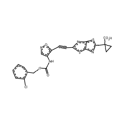 O=C(Nc1cnoc1C#Cc1nc2sc(C3(C(=O)O)CC3)nc2s1)OCc1ccccc1Cl